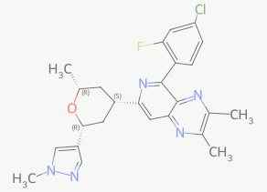 Cc1nc2cc([C@H]3C[C@@H](C)O[C@@H](c4cnn(C)c4)C3)nc(-c3ccc(Cl)cc3F)c2nc1C